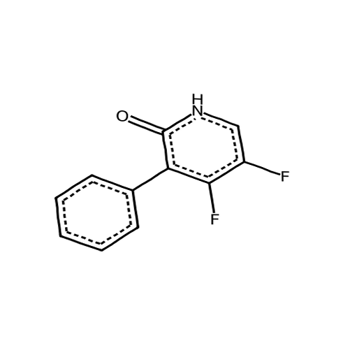 O=c1[nH]cc(F)c(F)c1-c1ccccc1